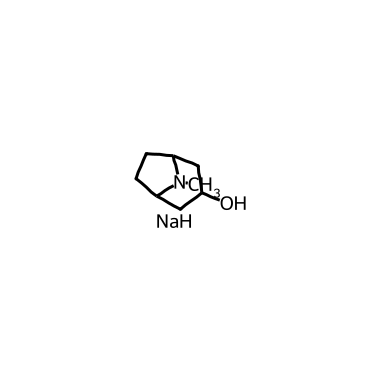 CN1C2CCC1CC(O)C2.[NaH]